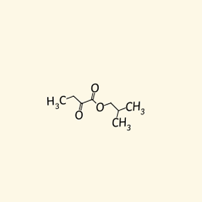 CCC(=O)C(=O)OCC(C)C